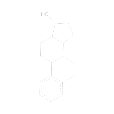 OC1CCC2C1CCC1c3ccccc3CCC12